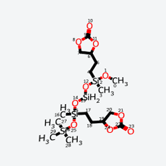 CO[Si](C)(CCC1COC(=O)O1)O[SiH2]O[Si](C)(CCC1COC(=O)O1)O[Si](C)(C)C